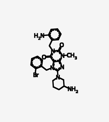 Cn1c(=O)n(Cc2ccccc2N)c(=O)c2c1nc(N1CCCC(N)C1)n2Cc1ccccc1Br